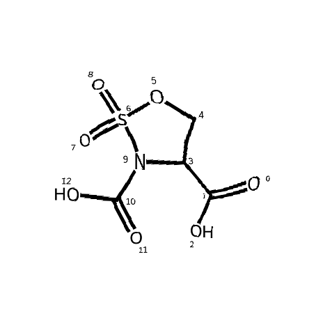 O=C(O)C1COS(=O)(=O)N1C(=O)O